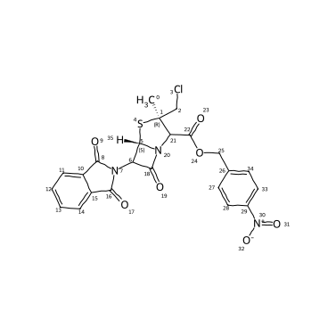 C[C@@]1(CCl)S[C@H]2C(N3C(=O)c4ccccc4C3=O)C(=O)N2C1C(=O)OCc1ccc([N+](=O)[O-])cc1